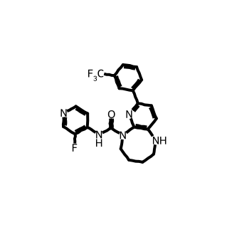 O=C(Nc1ccncc1F)N1CCCCNc2ccc(-c3cccc(C(F)(F)F)c3)nc21